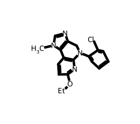 CCOc1ccc2c(n1)N(c1ccccc1Cl)Cc1ncn(C)c1-2